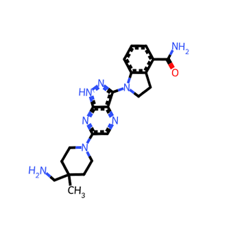 CC1(CN)CCN(c2cnc3c(N4CCc5c(C(N)=O)cccc54)n[nH]c3n2)CC1